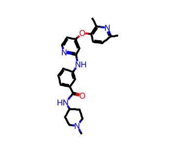 Cc1ccc(Oc2ccnc(Nc3cccc(C(=O)NC4CCN(C)CC4)c3)c2)c(C)n1